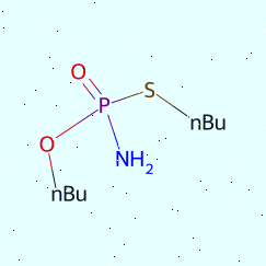 CCCCOP(N)(=O)SCCCC